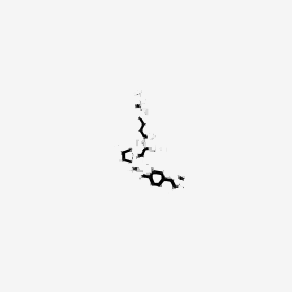 Cc1ncsc1-c1ccc(CNC(=O)[C@@H]2C[C@@H](O)CN2C(=O)C(NC(=O)CCCNC(=O)OC(C)(C)C)C(C)(C)C)cc1